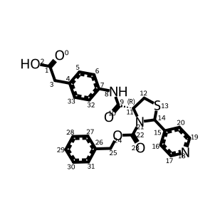 O=C(O)Cc1ccc(NC(=O)[C@@H]2CSC(c3ccncc3)N2C(=O)OCc2ccccc2)cc1